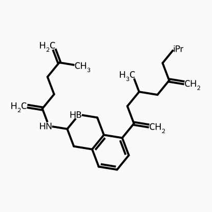 C=C(C)CCC(=C)NC1BCc2c(cccc2C(=C)CC(C)CC(=C)CC(C)C)C1